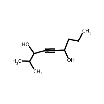 CCCC(O)C#CC(O)C(C)C